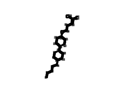 CCCCC[C@H]1CC[C@H]([C@H]2CC[C@H](OCCC[SiH](Cl)Cl)CC2)CC1